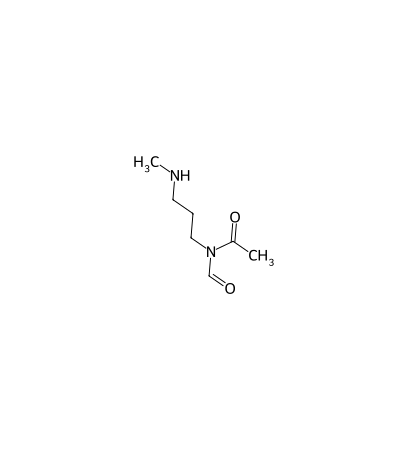 CNCCCN(C=O)C(C)=O